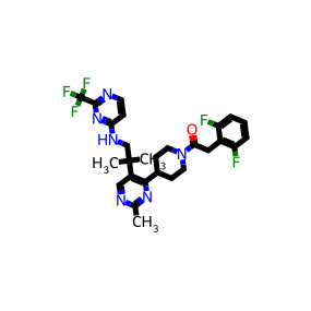 Cc1ncc(C(C)(C)CNc2ccnc(C(F)(F)F)n2)c(C2CCN(C(=O)Cc3c(F)cccc3F)CC2)n1